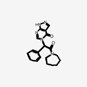 O=C(C(c1ccccc1)n1cnc2[nH]ncc2c1=O)N1CCCCCC1